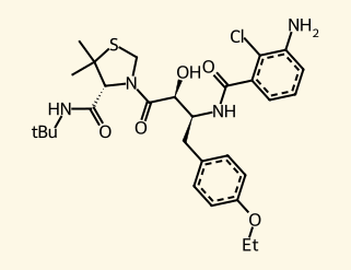 CCOc1ccc(C[C@H](NC(=O)c2cccc(N)c2Cl)[C@H](O)C(=O)N2CSC(C)(C)[C@H]2C(=O)NC(C)(C)C)cc1